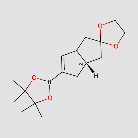 CC1(C)OB(C2=CC3CC4(C[C@@H]3C2)OCCO4)OC1(C)C